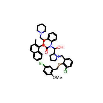 COc1ccc(Br)cc1CSc1c(Cl)cccc1CN1CCCC1C(O)N(C(=O)OCCN1CCCCC1)c1ccccc1SCc1c(C)ccc2ccccc12